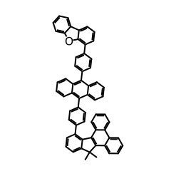 CC1(C)c2cccc(-c3ccc(-c4c5ccccc5c(-c5ccc(-c6cccc7c6oc6ccccc67)cc5)c5ccccc45)cc3)c2-c2c1c1ccccc1c1ccccc21